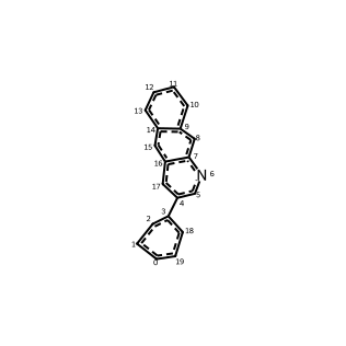 c1ccc(-c2cnc3cc4ccccc4cc3c2)cc1